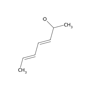 CC=CC=CC(C)[O]